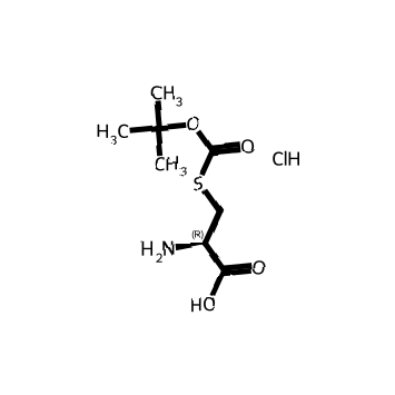 CC(C)(C)OC(=O)SC[C@H](N)C(=O)O.Cl